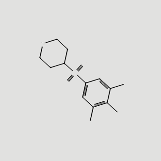 Cc1cc(S(=O)(=O)[C]2CCNCC2)cc(C)c1C